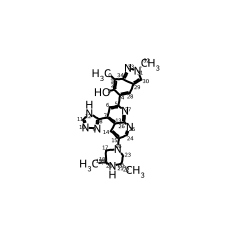 Cc1c(O)c(-c2cc(-c3nnc[nH]3)c3cc(N4C[C@H](C)N[C@@H](C)C4)cnc3n2)cc2cn(C)nc12